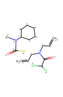 C=CCN(CC=C)C(=O)C(Cl)Cl.CCN(C(=O)S)C1CCCCC1